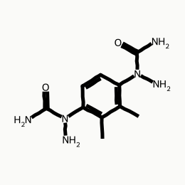 Cc1c(N(N)C(N)=O)ccc(N(N)C(N)=O)c1C